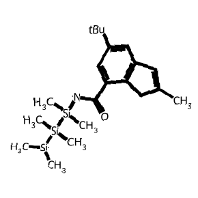 CC1=Cc2cc(C(C)(C)C)cc(C(=O)[N][Si](C)(C)[Si](C)(C)[Si](C)C)c2C1